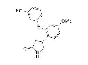 COc1ccc(C2CNC(=O)C2)c(Oc2cccc(C#N)c2)c1